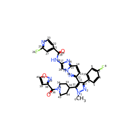 Cn1nc(-c2ccc(F)cc2)c(-c2ccc3nc(NC(=O)c4ccnc(F)c4)cn3n2)c1C1CCN(C(=O)c2ccon2)CC1